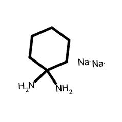 NC1(N)CCCCC1.[Na].[Na]